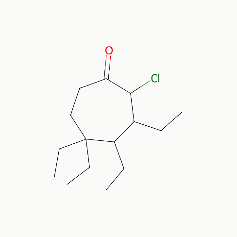 CCC1C(Cl)C(=O)CCC(CC)(CC)C1CC